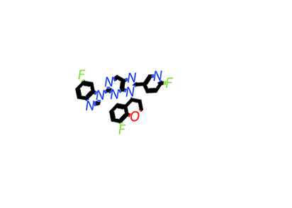 Fc1ccc2ncn(-c3ncc4nc(-c5ccc(F)nc5)n([C@@H]5CCOc6c(F)cccc65)c4n3)c2c1